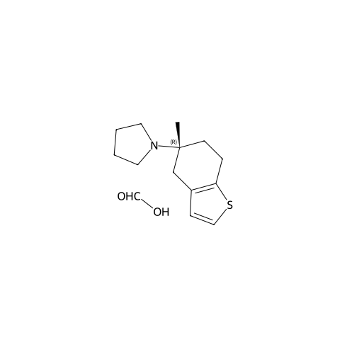 C[C@@]1(N2CCCC2)CCc2sccc2C1.O=CO